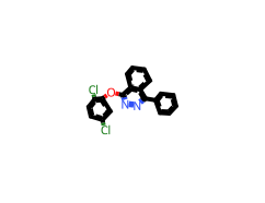 Clc1ccc(Cl)c(Oc2nnc(-c3ccccc3)c3ccccc23)c1